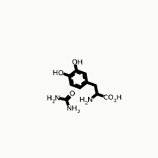 NC(Cc1ccc(O)c(O)c1)C(=O)O.NC(N)=O